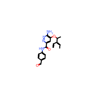 C=C/C(=C\C)C(C)Oc1cc(C(=O)Nc2ccc(C=O)cc2)nnc1N